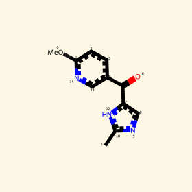 COc1ccc(C(=O)c2cnc(C)[nH]2)cn1